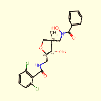 C[C@@]1(CN(O)C(=O)c2ccccc2)CO[C@H](CNC(=O)c2c(Cl)cccc2Cl)[C@H]1O